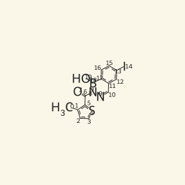 Cc1ccsc1C(=O)N1N=Cc2cc(I)ccc2B1O